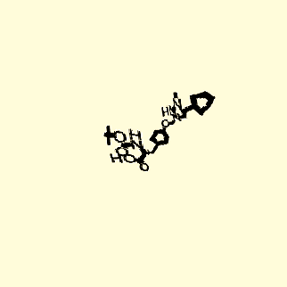 CN1NN(COc2ccc(C[C@H](NC(=O)OC(C)(C)C)C(=O)O)cc2)CC1c1ccccc1